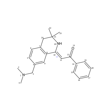 CN(C)Cc1ccc2c(c1)/C(=C/C(=O)c1ccccc1)NC(C)(C)C2